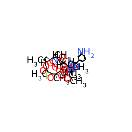 CO[C@@]1(C)C[C@@H](C)C(=O)[C@H](C)[C@H]2N(CCCCn3cc(-c4cccc(N)c4)nn3)C(=O)O[C@@]23CC(C)[C@H]3OC(=O)[C@@](C)(F)C(=O)[C@H](C)[C@H]1O[C@@H]1O[C@H](C)C[C@H](N(C)C)[C@H]1O